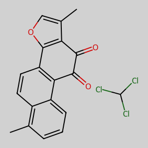 Cc1coc2c1C(=O)C(=O)c1c-2ccc2c(C)cccc12.ClC(Cl)Cl